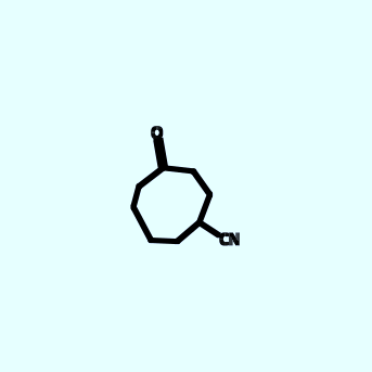 N#CC1CCCCC(=O)CC1